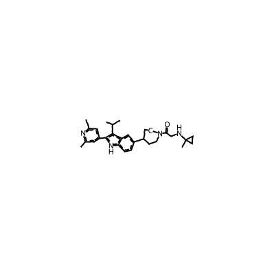 Cc1cc(-c2[nH]c3ccc(C4CCN(C(=O)CNC5(C)CC5)CC4)cc3c2C(C)C)cc(C)n1